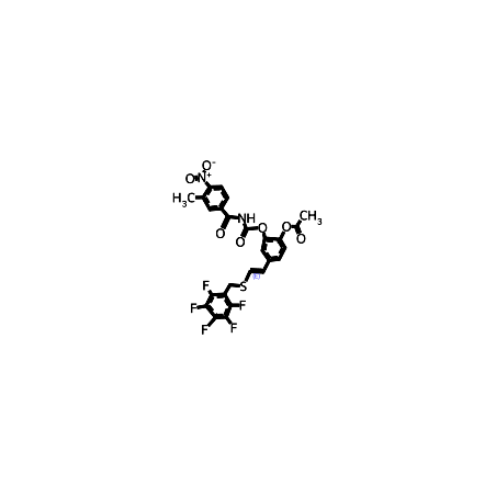 CC(=O)Oc1ccc(/C=C/SCc2c(F)c(F)c(F)c(F)c2F)cc1OC(=O)NC(=O)c1ccc([N+](=O)[O-])c(C)c1